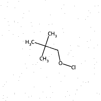 CC(C)(C)COCl